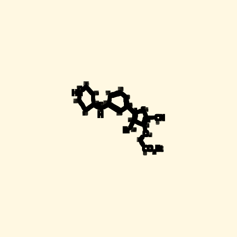 CCOC(=O)COc1c(C#N)sc(-c2cccc(NC3CCNCC3)c2)c1Br